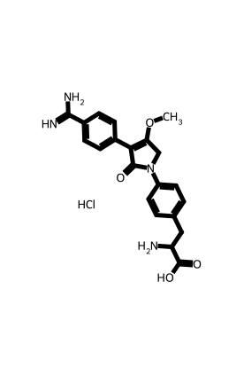 COC1=C(c2ccc(C(=N)N)cc2)C(=O)N(c2ccc(CC(N)C(=O)O)cc2)C1.Cl